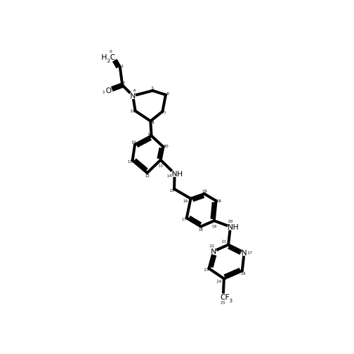 C=CC(=O)N1CCCC(c2cccc(NCc3ccc(Nc4ncc(C(F)(F)F)cn4)cc3)c2)C1